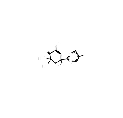 COC1(c2ncc(C(F)(F)F)cn2)C=C(C#N)C(=O)C(C)(C)C1